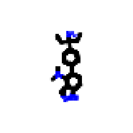 CCC(N)(CC)c1ccc(-c2ccc3[nH]ncc3c2N(C)C)cc1